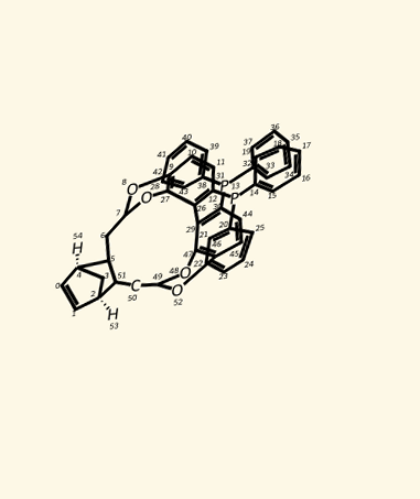 C1=C[C@H]2C[C@@H]1C1CC3Oc4ccc(P(c5ccccc5)c5ccccc5)c(c4O3)-c3c(P(c4ccccc4)c4ccccc4)ccc4c3OC(CC12)O4